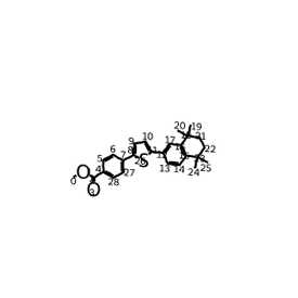 COC(=O)c1ccc(-c2ccc(-c3ccc4c(c3)C(C)(C)CCC4(C)C)s2)cc1